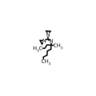 CCCCCC(C)(CCC)N=C(N1CC1)N1CC1